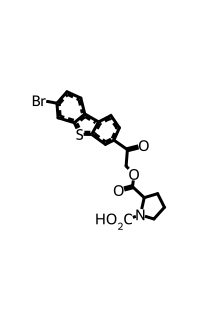 O=C(COC(=O)C1CCCN1C(=O)O)c1ccc2c(c1)sc1cc(Br)ccc12